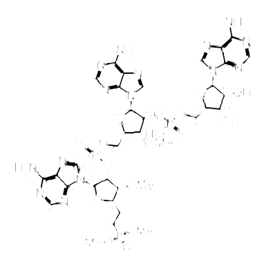 CO[C@H]1[C@@H](O[P@@](O)(=S)OC[C@H]2O[C@@H](n3cnc4c(N)ncnc43)[C@H](O[P@@](O)(=S)OC[C@H]3O[C@@H](n4cnc5c(N)ncnc54)[C@H](O)[C@@H]3O)[C@@H]2OC)[C@H](n2cnc3c(N)ncnc32)O[C@@H]1CCP(=O)(OC)OC